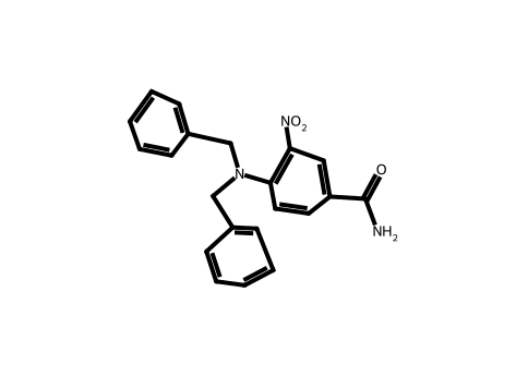 NC(=O)c1ccc(N(Cc2ccccc2)Cc2ccccc2)c([N+](=O)[O-])c1